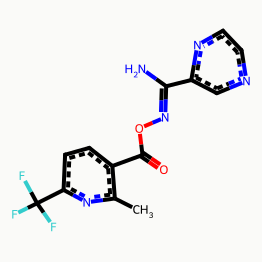 Cc1nc(C(F)(F)F)ccc1C(=O)O/N=C(\N)c1cnccn1